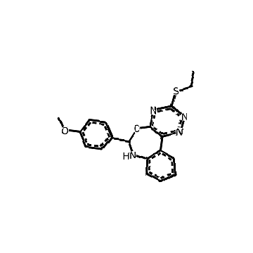 CCSc1nnc2c(n1)OC(c1ccc(OC)cc1)Nc1ccccc1-2